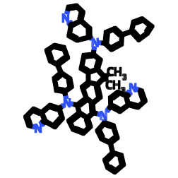 CC1(C)c2cc(N(c3ccc(-c4ccccc4)cc3)c3ccc4ncccc4c3)ccc2-c2cc3c(N(c4ccc(-c5ccccc5)cc4)c4ccc5ncccc5c4)c4ccccc4c(N(c4ccc(-c5ccccc5)cc4)c4ccc5ncccc5c4)c3cc21